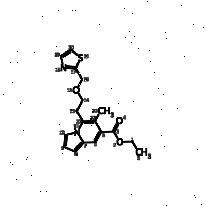 CCOC(=O)c1cc2cccn2c(CCOCc2nccs2)c1C